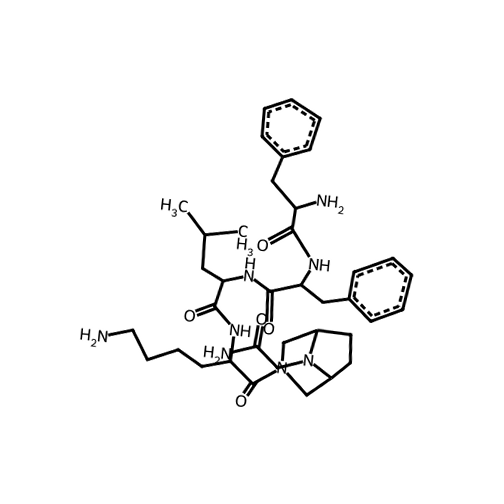 CC(C)CC(NC(=O)C(Cc1ccccc1)NC(=O)C(N)Cc1ccccc1)C(=O)NC(CCCCN)C(=O)N1CC2CCC(C1)N2CC(N)=O